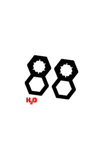 O.c1ccc2c(c1)CCCC2.c1ccc2c(c1)CCCC2